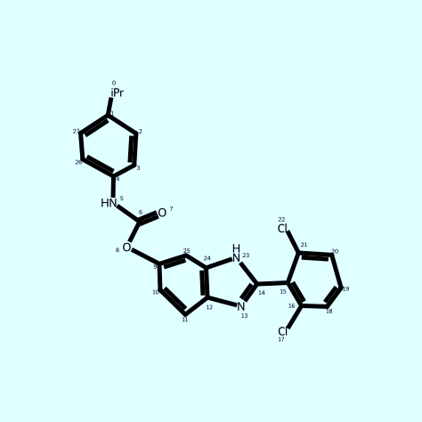 CC(C)c1ccc(NC(=O)Oc2ccc3nc(-c4c(Cl)cccc4Cl)[nH]c3c2)cc1